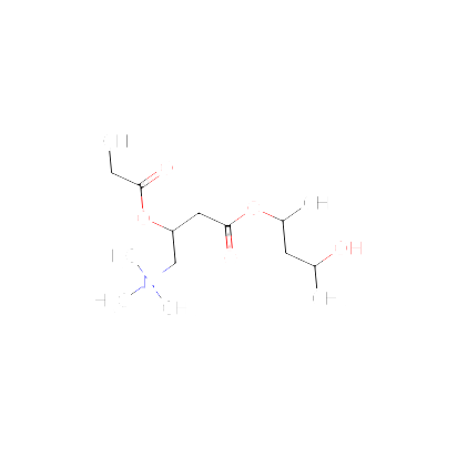 CCC(=O)OC(CC(=O)OC(C)CC(C)O)C[N+](C)(C)C